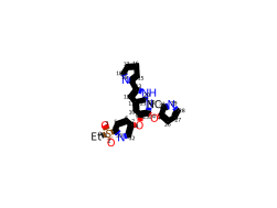 CCS(=O)(=O)c1ccc(Oc2cc3cc(-c4ccccn4)[nH]c3nc2Oc2cccnc2C#N)cn1